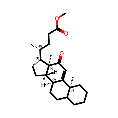 COC(=O)CC[C@@H](C)[C@H]1CC[C@H]2[C@@H]3CCC4CCCC[C@]4(C)C3=CC(=O)[C@]12C